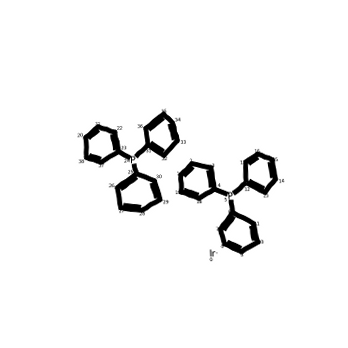 [Ir].c1ccc(P(c2ccccc2)c2ccccc2)cc1.c1ccc(P(c2ccccc2)c2ccccc2)cc1